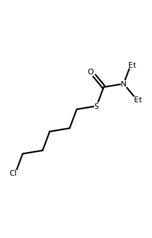 CCN(CC)C(=O)SCCCCCCl